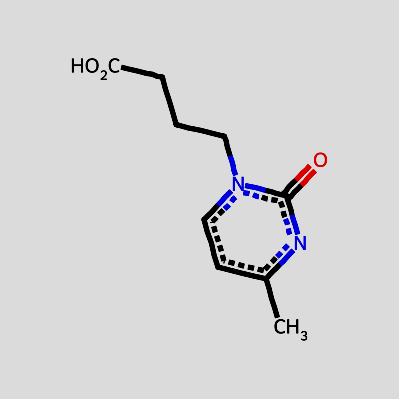 Cc1ccn(CCCC(=O)O)c(=O)n1